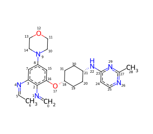 C=Nc1c(/N=C\C)cc(N2CCOCC2)cc1O[C@H]1CC[C@@H](Nc2ccnc(C)n2)CC1